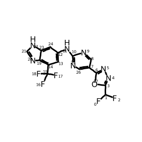 FC(F)c1nnc(-c2cnc(Nc3cc(C(F)(F)F)c4nc[nH]c4c3)nc2)o1